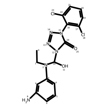 CCN(c1cccc(N)c1)C(O)n1nnn(-c2c(Cl)cccc2Cl)c1=O